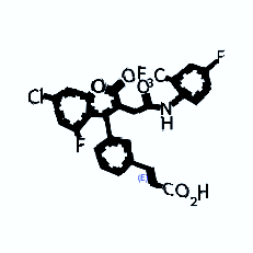 O=C(O)/C=C/c1cccc(-c2c(CC(=O)Nc3ccc(F)cc3C(F)(F)F)c(=O)oc3cc(Cl)cc(F)c23)c1